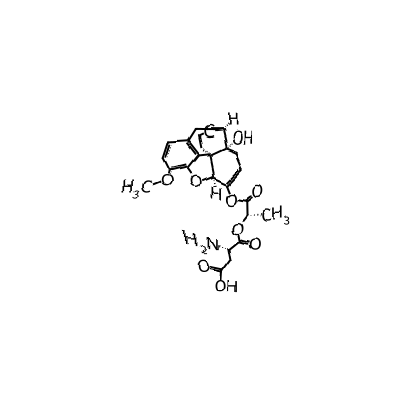 COc1ccc2c3c1O[C@@H]1C(OC(=O)[C@H](C)OC(=O)[C@@H](N)CC(=O)O)=CC[C@]4(O)[C@@H](CCC[C@@]314)C2